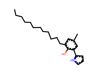 CCCCCCCCCCCCc1cc(C)cc(-c2ccc[nH]2)c1O